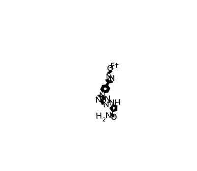 CCOCCn1cc(-c2ccc(-n3cnc4cnc(N[C@@H]5CC[C@@H](C(N)=O)C5)nc43)cc2)cn1